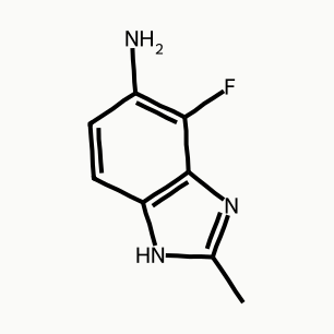 Cc1nc2c(F)c(N)ccc2[nH]1